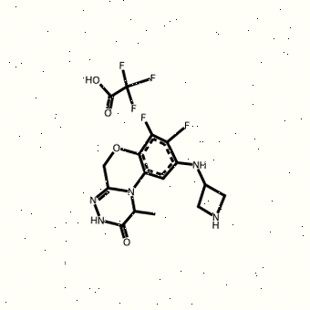 CC1C(=O)NN=C2COc3c(cc(NC4CNC4)c(F)c3F)N21.O=C(O)C(F)(F)F